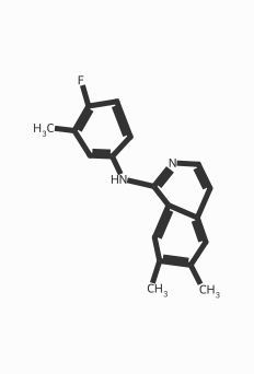 Cc1cc2ccnc(Nc3ccc(F)c(C)c3)c2cc1C